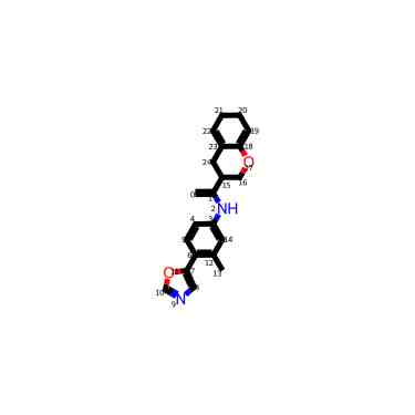 C=C(Nc1ccc(-c2cnco2)c(C)c1)C1COC2=CCCC=C2C1